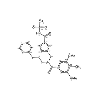 COc1cc(C(=O)N(CCCc2ccccc2)Cc2nc(C(=O)NS(C)(=O)=O)cs2)cc(OC)c1C